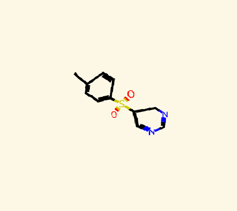 Cc1ccc(S(=O)(=O)C2C=NC=NC2)cc1